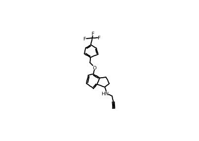 C#CCNC1CCc2c(OCc3ccc(C(F)(F)F)cc3)cccc21